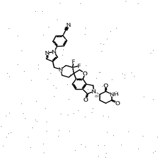 N#Cc1ccc(-n2cc(CN3CCC4(COc5c4ccc4c5CN([C@H]5CCC(=O)NC5=O)C4=O)C(F)(F)C3)cn2)cc1